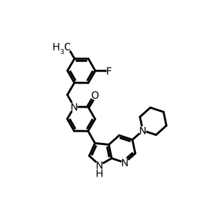 Cc1cc(F)cc(Cn2ccc(-c3c[nH]c4ncc(N5CCCCC5)cc34)cc2=O)c1